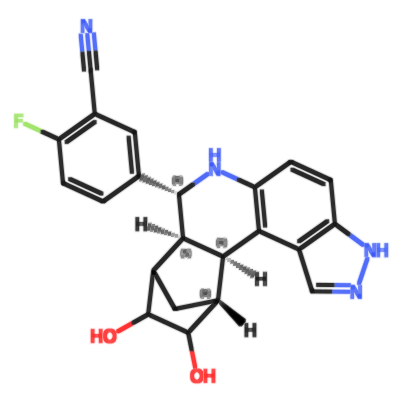 N#Cc1cc([C@@H]2Nc3ccc4[nH]ncc4c3[C@@H]3[C@H]2C2C[C@H]3C(O)C2O)ccc1F